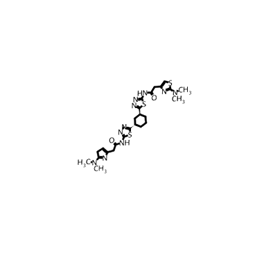 CN(C)C1=NC(CC(=O)Nc2nnc([C@H]3CCC[C@H](c4nnc(NC(=O)Cc5csc(N(C)C)n5)s4)C3)s2)=CC1